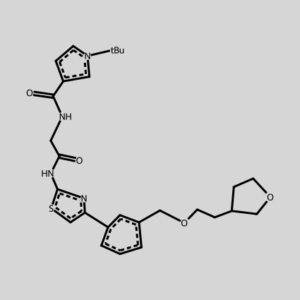 CC(C)(C)n1ccc(C(=O)NCC(=O)Nc2nc(-c3cccc(COCCC4CCOC4)c3)cs2)c1